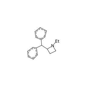 CCN1CCC1C(c1ccccc1)c1ccccc1